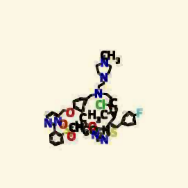 Cc1c2ccc(c1Cl)CN(CCN1CCN(C)CC1)Cc1ccc(OCc3ccnc(-c4ccccc4S(C)(=O)=O)n3)c(c1)C[C@H](C(=O)O)Oc1ncnc3sc(-c4ccc(F)cc4)c-2c13